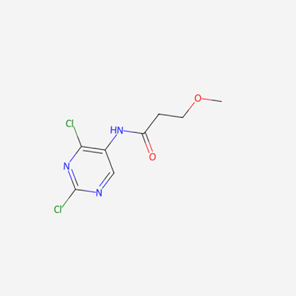 COCCC(=O)Nc1cnc(Cl)nc1Cl